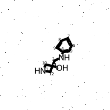 OC1(CNc2ccccc2)CNC1